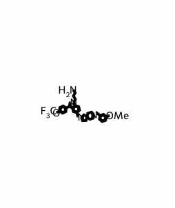 COc1cccc(CN2CCC3(CC2)CCN(Cc2ccc4c(c2)c(-c2ccc(OC(F)(F)F)cc2)cn4CCCN)C3)c1